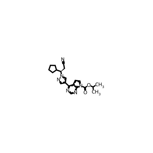 CC(C)OC(=O)n1ccc2c(-c3cnn([C@H](CC#N)C4CCCC4)c3)ncnc21